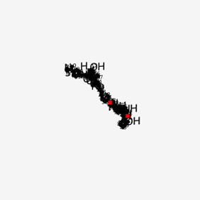 Cc1ncsc1-c1ccc(CNC(=O)[C@@H]2C[C@@H](O)CN2C(=O)C(c2cc(OCCCN3CCC(c4cnc(N5CCN6c7cc(-c8ccccc8O)nnc7NC[C@@H]6C5)nc4)CC3)no2)C(C)C)cc1